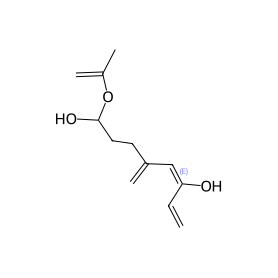 C=C/C(O)=C\C(=C)CCC(O)OC(=C)C